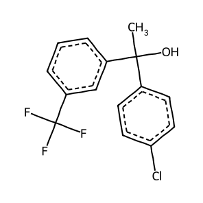 CC(O)(c1ccc(Cl)cc1)c1cccc(C(F)(F)F)c1